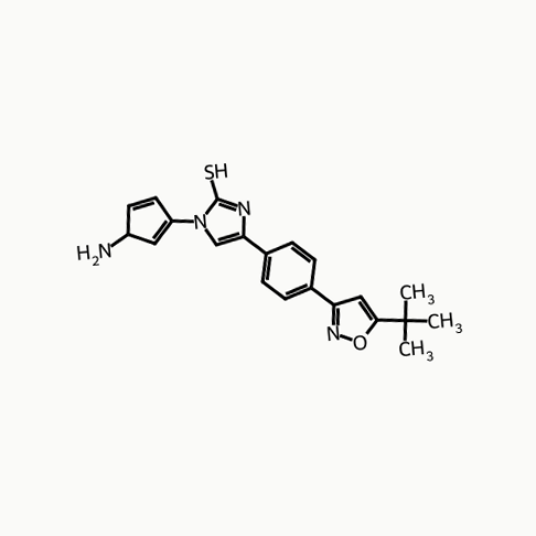 CC(C)(C)c1cc(-c2ccc(-c3cn(C4=CC(N)C=C4)c(S)n3)cc2)no1